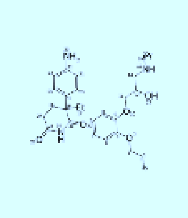 C=CCOc1ccccc1OCC(O)CNC(C)C.CCC1(c2ccc(N)cc2)CCC(=O)NC1=O